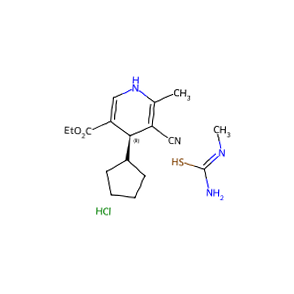 CCOC(=O)C1=CNC(C)=C(C#N)[C@H]1C1CCCC1.CN=C(N)S.Cl